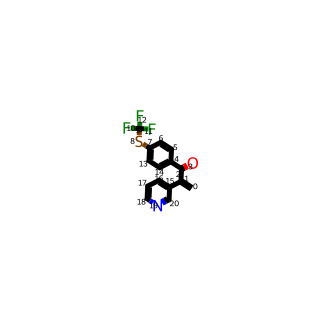 C=C(C(=O)c1ccc(SC(F)(F)F)cc1)c1cccnc1